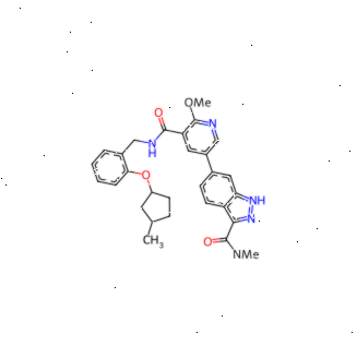 CNC(=O)c1n[nH]c2cc(-c3cnc(OC)c(C(=O)NCc4ccccc4OC4CCC(C)C4)c3)ccc12